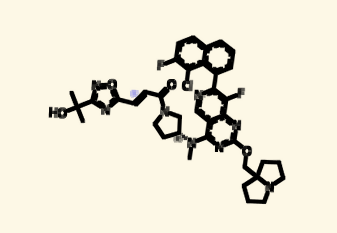 CN(c1nc(OCC23CCCN2CCC3)nc2c(F)c(-c3cccc4ccc(F)c(Cl)c34)ncc12)[C@@H]1CCN(C(=O)/C=C/c2nc(C(C)(C)O)no2)C1